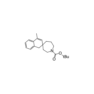 CC1=CC2(CCCN(C(=O)OC(C)(C)C)CC2)Cc2ccccc21